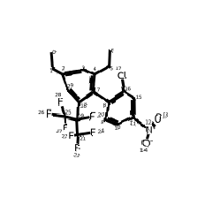 CCc1[c]c(CC)c(-c2ccc([N+](=O)[O-])cc2Cl)c(C(F)(C(F)(F)F)C(F)(F)F)c1